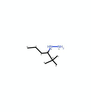 CCCC(NN)C(C)(C)C